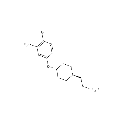 CCOC(=O)CC[C@H]1CC[C@H](Oc2ccc(Br)c(C)c2)CC1